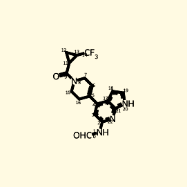 O=CNc1cc(C2=CCN(C(=O)C3CC3C(F)(F)F)CC2)c2cc[nH]c2n1